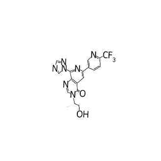 C[C@@H](CO)n1cnc2c(-n3cncn3)nc(-c3ccc(C(F)(F)F)nc3)cc2c1=O